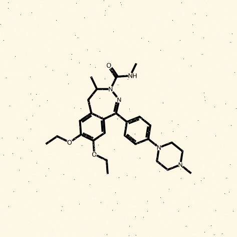 CCOc1cc2c(cc1OCC)C(c1ccc(N3CCN(C)CC3)cc1)=NN(C(=O)NC)C(C)C2